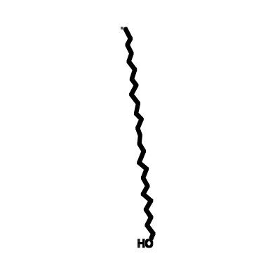 [CH2]CCCCCCCCCCCCCCCCCCCCCCCCCO